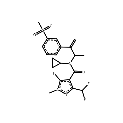 C=C(c1cccc(S(C)(=O)=O)c1)C(C)N(C(=O)c1c(C(F)F)nn(C)c1F)C1CC1